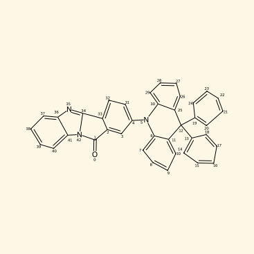 O=C1c2cc(N3c4ccccc4C(c4ccccc4)(c4ccccc4)c4ccccc43)ccc2-c2nc3ccccc3n21